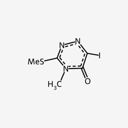 CSc1nnc(I)c(=O)n1C